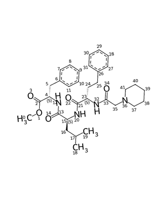 COC(=O)[C@H](Cc1ccccc1)NC(=O)[C@H](CC(C)C)NC(=O)[C@H](CCc1ccccc1)NC(=O)CN1CCCCC1